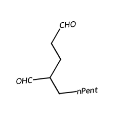 CCCCCCC(C=O)CCC=O